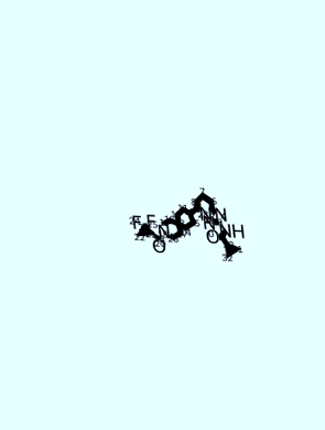 O=C(Nc1nc2cccc(C3CCC4(CC3)CCN(C(=O)[C@@H]3CC3(F)F)CC4)n2n1)C1CC1